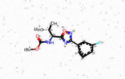 CO[C@H](C)[C@H](NC(=O)OC(C)(C)C)c1nc(-c2cccc(F)c2)no1